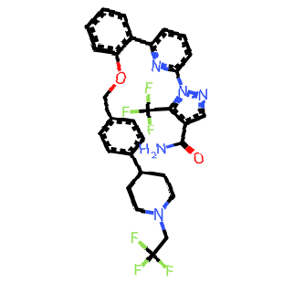 NC(=O)c1cnn(-c2cccc(-c3ccccc3OCc3ccc(C4CCN(CC(F)(F)F)CC4)cc3)n2)c1C(F)(F)F